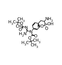 CC(C)(C)OC(=O)N=C(N)N(C(=O)OC(C)(C)C)c1ccc(CC(N)P(=O)(O)O)cc1